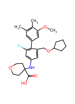 COc1cc(-c2c(F)cc(NC3(C(=O)O)CCOCC3)cc2COC2CCCC2)cc(C)c1C